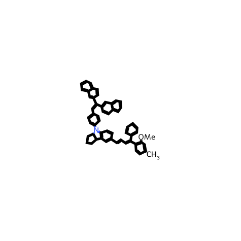 COc1cc(C)ccc1/C(=C/C=C/c1ccc2c(c1)C1CCCC1N2c1ccc(C=C(c2ccc3ccccc3c2)c2ccc3ccccc3c2)cc1)c1ccccc1